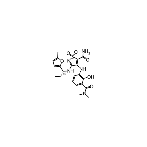 CC[C@@H](NC1=NS(=O)(=O)C(C(N)=O)=C1Nc1cccc(C(=O)N(C)C)c1O)c1ccc(C)o1